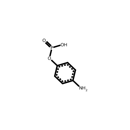 Nc1ccc(O[P](=O)O)cc1